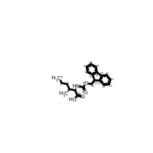 CCC[C@H](C)[C@H](NC(=O)OCC1c2ccccc2-c2ccccc21)C(=O)O